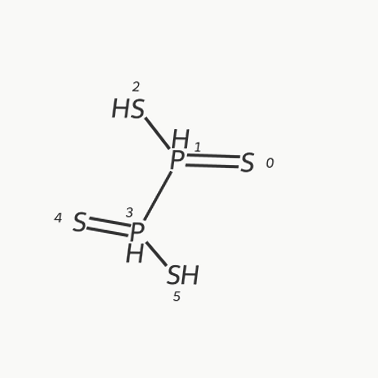 S=[PH](S)[PH](=S)S